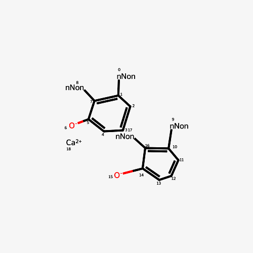 CCCCCCCCCc1cccc([O-])c1CCCCCCCCC.CCCCCCCCCc1cccc([O-])c1CCCCCCCCC.[Ca+2]